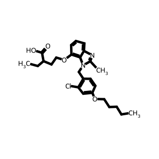 CCCCCOc1ccc(Cn2c(C)nc3cccc(OCCC(CC)C(=O)O)c32)c(Cl)c1